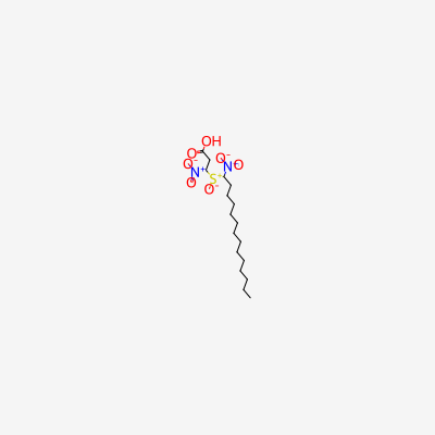 CCCCCCCCCCCCCC([N+](=O)[O-])[S+]([O-])C(CC(=O)O)[N+](=O)[O-]